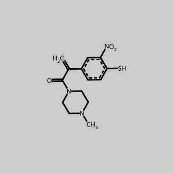 C=C(C(=O)N1CCN(C)CC1)c1ccc(S)c([N+](=O)[O-])c1